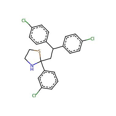 Clc1ccc(C(CC2(c3cccc(Cl)c3)NCCS2)c2ccc(Cl)cc2)cc1